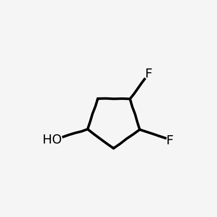 OC1CC(F)C(F)C1